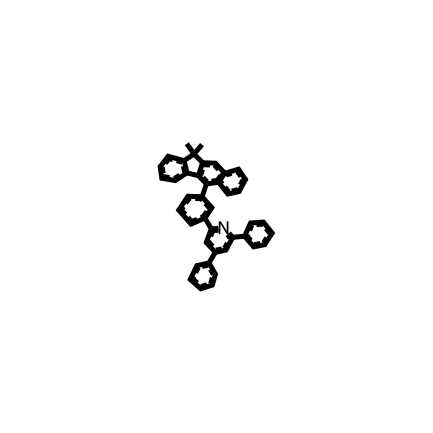 CC1(C)c2ccccc2-c2c1cc1ccccc1c2-c1cccc(-c2cc(-c3ccccc3)cc(-c3ccccc3)n2)c1